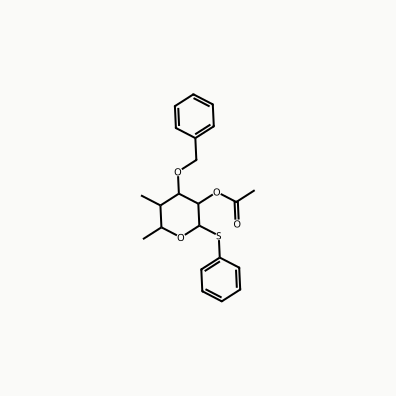 CC(=O)OC1C(Sc2ccccc2)OC(C)C(C)C1OCc1ccccc1